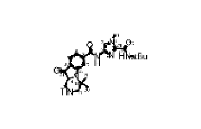 Cn1cc(NC(=O)c2ccc3c(c2)N2C(CNCC2(C)C)C3=O)nc1C(=O)NC(C)(C)C